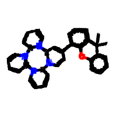 CC1(C)c2ccccc2Oc2c(C3=CB4N5C=CC=CB5N5C=CC=CB5N5C=CC=CB5N4C=C3)cccc21